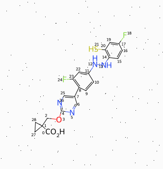 O=C(O)C1(COc2ncc(-c3ccc(NNc4ccc(F)cc4S)cc3F)cn2)CC1